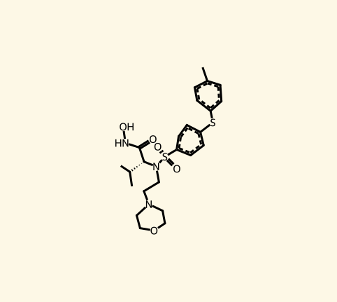 Cc1ccc(Sc2ccc(S(=O)(=O)N(CCN3CCOCC3)[C@@H](C(=O)NO)C(C)C)cc2)cc1